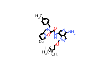 Cc1ccc(CN(Cc2ccccn2)C(=O)C(=O)Nc2cnc(N)c3cnn(COCC[Si](C)(C)C)c23)cc1.[Cu]